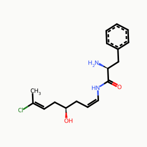 C/C(Cl)=C\C[C@H](O)C/C=C\NC(=O)[C@@H](N)Cc1ccccc1